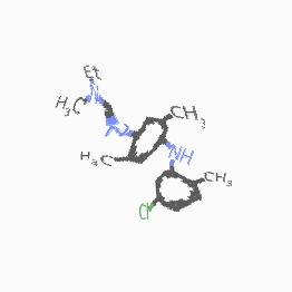 CCN(C)C=Nc1cc(C)c(Nc2cc(Cl)ccc2C)cc1C